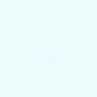 COC(=O)c1cnn2c1CCc1cc(OC)ccc1-2